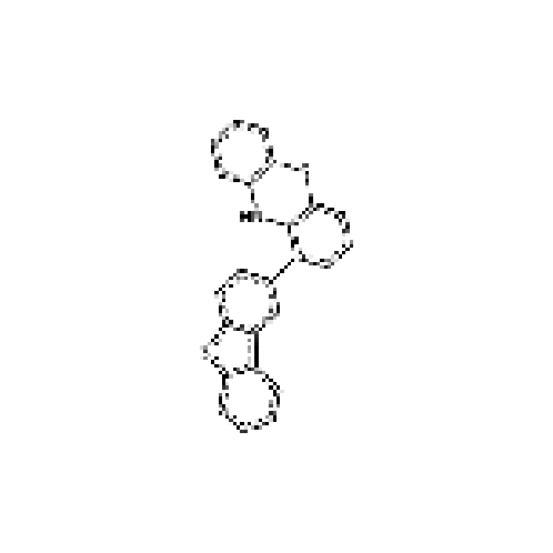 c1ccc2c(c1)Nc1c(cccc1-c1ccc3sc4ccccc4c3c1)S2